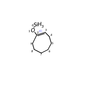 [SiH3]O/C1=C/CCCCCC1